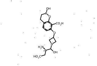 N[C@H](CC(=O)O)C(O)N1CC(Oc2ccc3c(c2C(=O)O)OB(O)CC3)C1